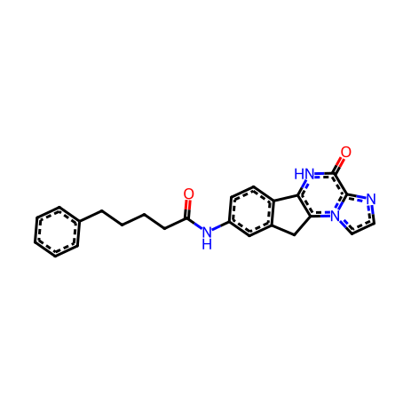 O=C(CCCCc1ccccc1)Nc1ccc2c(c1)Cc1c-2[nH]c(=O)c2nccn12